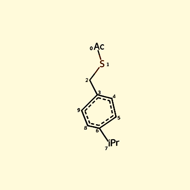 CC(=O)SCc1ccc(C(C)C)cc1